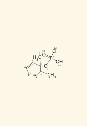 CC1C=CC=CC1(C)OP(=O)(O)Cl